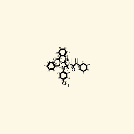 CC(NC(=O)NC1CCCCC1)(Nc1ccc(C(F)(F)F)cc1)c1nc2ccccc2c(=O)n1Cc1ccccc1